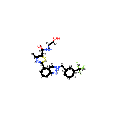 Cc1nc(-c2cccc3nn(Cc4cccc(C(F)(F)F)c4)cc23)sc1C(=O)NCCO